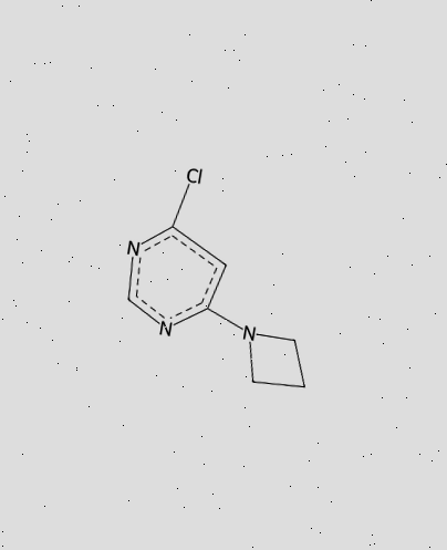 Clc1cc(N2CCC2)ncn1